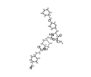 COC(=O)[C@H](Cc1ccc(OCc2ccccc2)cc1)NC(=O)C[C@H]1CC[C@H](NC(=O)CCc2ccc(C#N)cc2)CC1